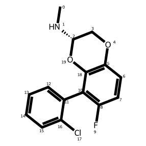 CN[C@@H]1COc2ccc(F)c(-c3ccccc3Cl)c2O1